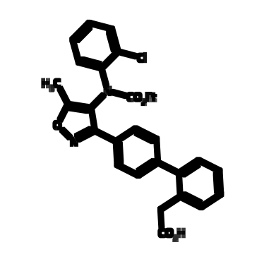 CCOC(=O)N(c1ccccc1Cl)c1c(-c2ccc(-c3ccccc3CC(=O)O)cc2)noc1C